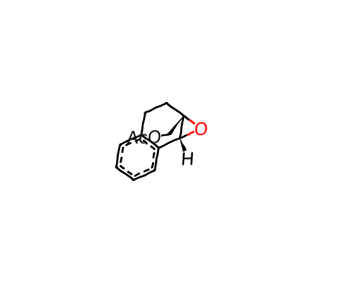 CC(=O)OC[C@]12CCc3ccccc3[C@H]1O2